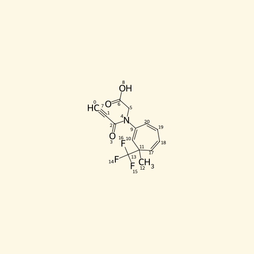 C#CC(=O)N(CC(=O)O)C1=CC(C)(C(F)(F)F)C=CC=C1